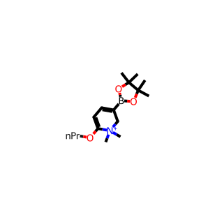 CCCOC1=CC=C(B2OC(C)(C)C(C)(C)O2)C[N+]1(C)C